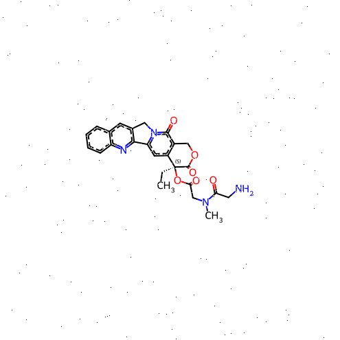 CC[C@@]1(OC(=O)CN(C)C(=O)CN)C(=O)OCc2c1cc1n(c2=O)Cc2cc3ccccc3nc2-1